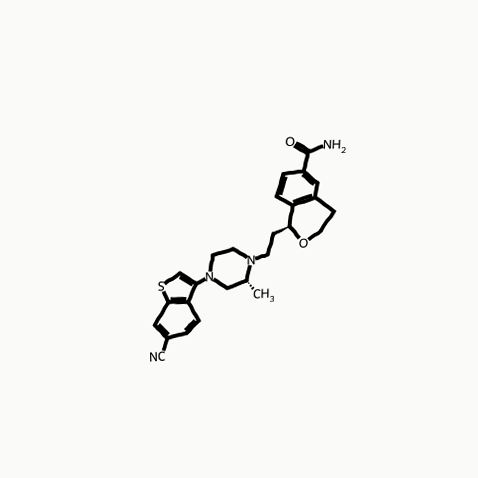 C[C@@H]1CN(c2csc3cc(C#N)ccc23)CCN1CC[C@@H]1OCCc2cc(C(N)=O)ccc21